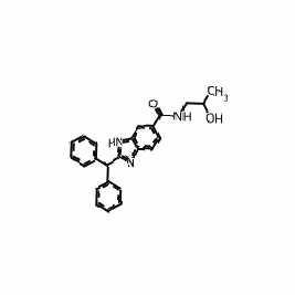 CC(O)CNC(=O)c1ccc2nc(C(c3ccccc3)c3ccccc3)[nH]c2c1